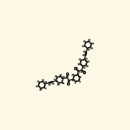 O=C(C(=O)c1cccc(C(=O)C(=O)c2ccc(C#Cc3ccccc3)cc2)c1)c1ccc(C#Cc2ccccc2)cc1